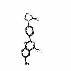 CC(C)c1ccc2nc(-c3ccc(N4CCOC4=O)cc3)nc(O)c2c1